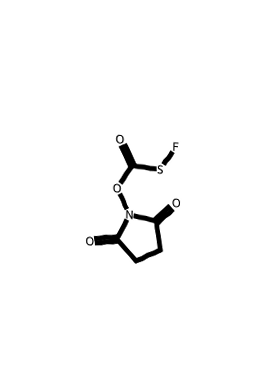 O=C(ON1C(=O)CCC1=O)SF